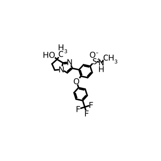 CN[S+]([O-])c1ccc(Oc2ccc(C(F)(F)F)cc2)c(-c2cn3c(n2)C(C)(O)CC3)c1